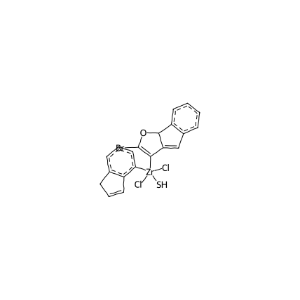 [SH][Zr]([Cl])([Cl])([C]1=C(Br)OC2C1=Cc1ccccc12)[c]1cccc2c1C=CC2